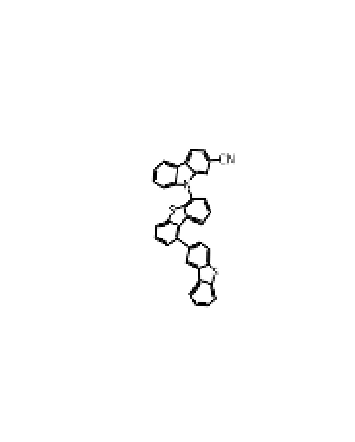 N#Cc1ccc2c3ccccc3n(-c3cccc4c3sc3cccc(-c5ccc6sc7ccccc7c6c5)c34)c2c1